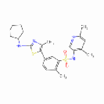 Cc1cc(C)c(NS(=O)(=O)c2cc(-c3sc(NC4CCCCC4)nc3C)ccc2C)cn1